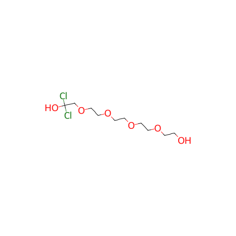 OCCOCCOCCOCCOCC(O)(Cl)Cl